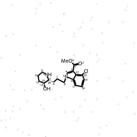 COC(=O)c1cn(CCC[C@H]2NCCC[C@@H]2O)c2cccc(Cl)c12